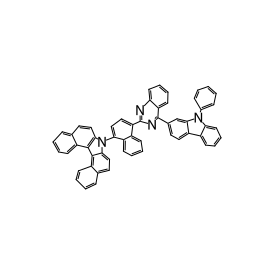 c1ccc(-n2c3ccccc3c3ccc(-c4nc(-c5ccc(-n6c7ccc8ccccc8c7c7c8ccccc8ccc76)c6ccccc56)nc5ccccc45)cc32)cc1